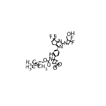 C[Si](C)(C)CCOC(=O)NC1(c2ccc(-c3nc(N4CC(F)(F)C4CO)nc4c3CCC4(F)F)cc2)CS(=O)(=O)C1